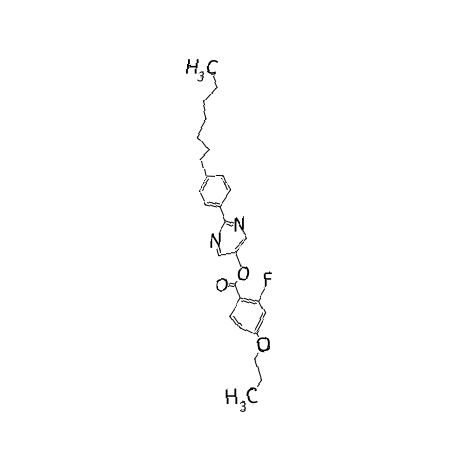 CCCCCCCc1ccc(-c2ncc(OC(=O)c3ccc(OCCC)cc3F)cn2)cc1